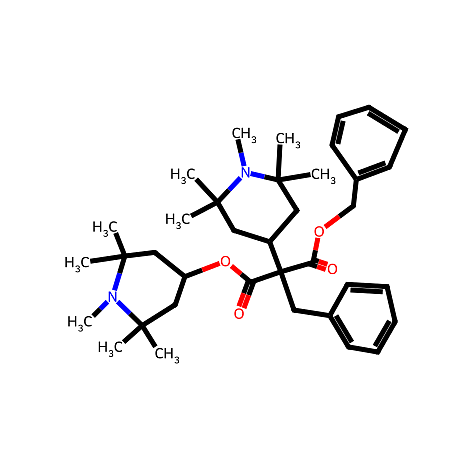 CN1C(C)(C)CC(OC(=O)C(Cc2ccccc2)(C(=O)OCc2ccccc2)C2CC(C)(C)N(C)C(C)(C)C2)CC1(C)C